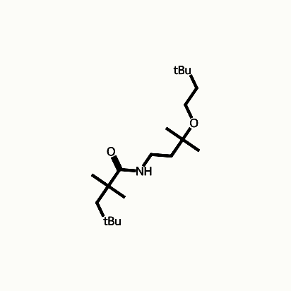 CC(C)(C)CCOC(C)(C)CCNC(=O)C(C)(C)CC(C)(C)C